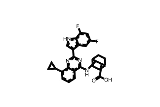 O=C(O)C1C2CCC(CC2)C1Nc1nc(-c2c[nH]c3c(F)cc(F)cc23)nc2c(C3CC3)cccc12